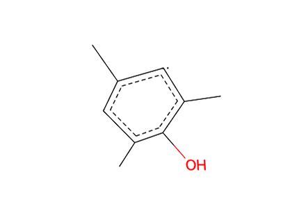 Cc1[c]c(C)c(O)c(C)c1